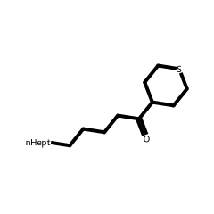 CCCCCCCCCCCC(=O)C1CCSCC1